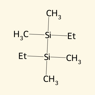 CC[Si](C)(C)[Si](C)(C)CC